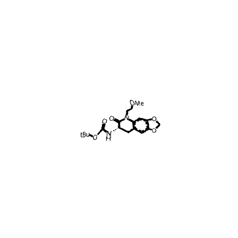 COCCN1C(=O)[C@@H](NC(=O)OC(C)(C)C)Cc2cc3c(cc21)OCO3